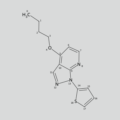 CCCCOc1ccnc2c1cnn2-c1cccs1